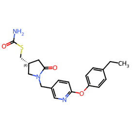 CCc1ccc(Oc2ccc(CN3C[C@H](CSC(N)=O)CC3=O)cn2)cc1